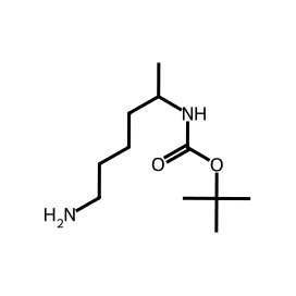 CC(CCCCN)NC(=O)OC(C)(C)C